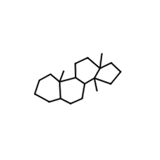 CC12CCCCC1CCC1C2CCC2(C)CCCC12C